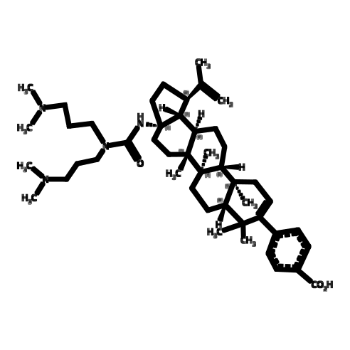 C=C(C)[C@@H]1CC[C@]2(NC(=O)N(CCCN(C)C)CCCN(C)C)CC[C@]3(C)[C@H](CC[C@@H]4[C@@]5(C)CC=C(c6ccc(C(=O)O)cc6)C(C)(C)[C@@H]5CC[C@]43C)[C@@H]12